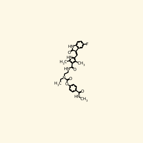 CCN(CCNC(=O)c1c(C)[nH]c(/C=C2\C(=O)Nc3ccc(F)cc32)c1C)C(=O)Oc1ccc(C(=O)NC)cc1